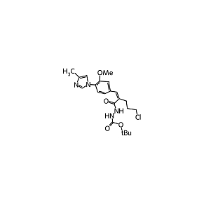 COc1cc(C=C(CCCCl)C(=O)NNC(=O)OC(C)(C)C)ccc1-n1cnc(C)c1